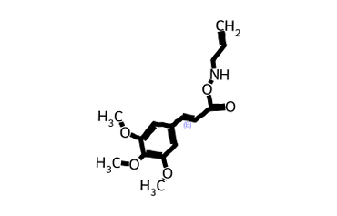 C=CCNOC(=O)/C=C/c1cc(OC)c(OC)c(OC)c1